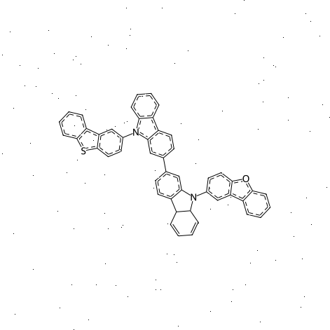 C1=CC2c3ccc(-c4ccc5c6ccccc6n(-c6ccc7sc8ccccc8c7c6)c5c4)cc3N(c3ccc4oc5ccccc5c4c3)C2C=C1